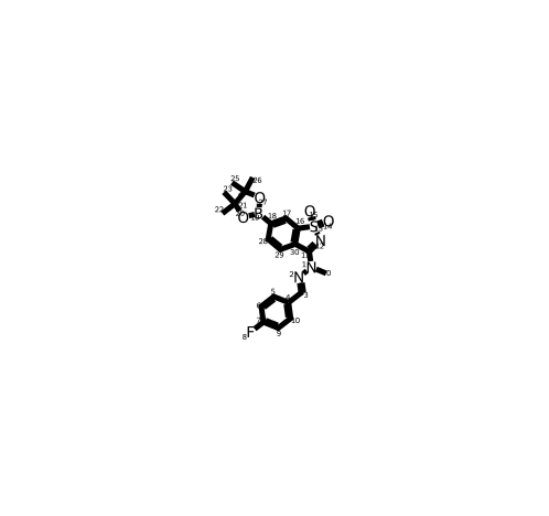 CN(/N=C/c1ccc(F)cc1)C1=NS(=O)(=O)c2cc(B3OC(C)(C)C(C)(C)O3)ccc21